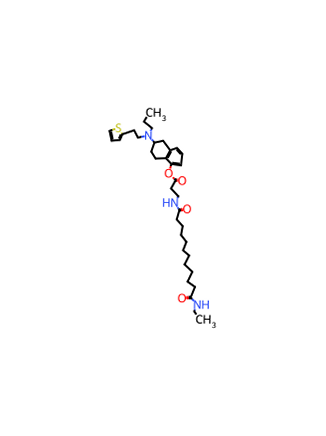 CCCN(CCc1cccs1)C1CCc2c(cccc2OC(=O)CCNC(=O)CCCCCCCCCCC(=O)NCC)C1